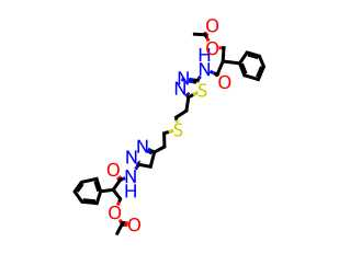 CC(=O)OCC(C(=O)NC1=NN=C(CCSCCc2nnc(NC(=O)C(COC(C)=O)c3ccccc3)s2)C1)c1ccccc1